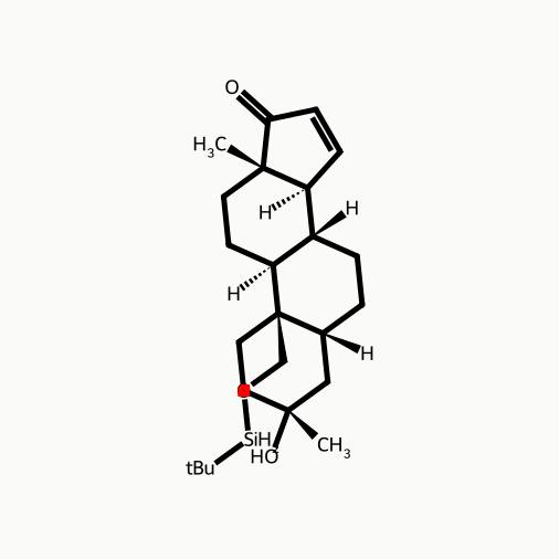 CC(C)(C)[SiH2]OC[C@]12CC[C@@](C)(O)C[C@H]1CC[C@@H]1[C@@H]2CC[C@]2(C)C(=O)C=C[C@@H]12